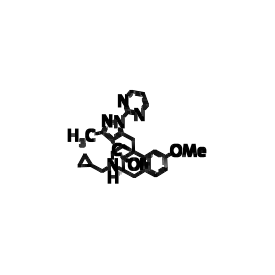 COc1ccc2c(c1)[C@]13CCN(CC4CC4)[C@H](C2)[C@]1(O)Cc1c(C)nn(-c2ncccn2)c1C3